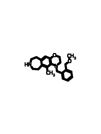 COCc1ccccc1CN1CCOc2cc3c(c(C)c21)CCNCC3